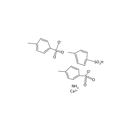 Cc1ccc(S(=O)(=O)O)cc1.Cc1ccc(S(=O)(=O)[O-])cc1.Cc1ccc(S(=O)(=O)[O-])cc1.N.[Ca+2]